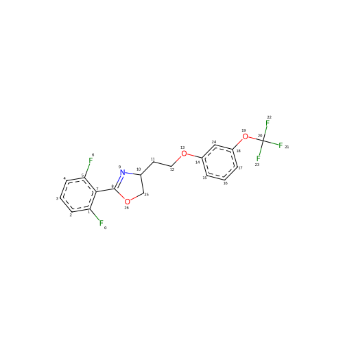 Fc1cccc(F)c1C1=NC(CCOc2cccc(OC(F)(F)F)c2)CO1